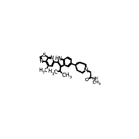 CNC(=O)CN1CCC(c2ccc3[nH]c(-c4cc(C)c5ncsc5n4)c(C(C)C)c3c2)CC1